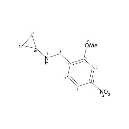 COc1cc([N+](=O)[O-])ccc1CNC1CC1